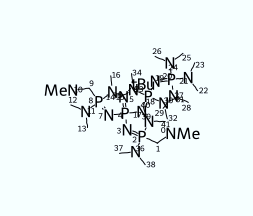 CNCP(=NP(=NC(C)(C)C)(N=P(CNC)(N(C)C)N(C)C)N=P(N=P(N(C)C)(N(C)C)N(C)C)(N(C)C)N(C)C)(N(C)C)N(C)C